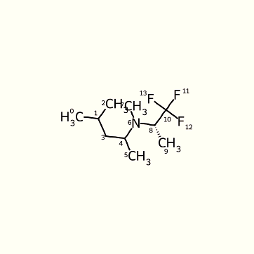 CC(C)CC(C)N(C)[C@@H](C)C(F)(F)F